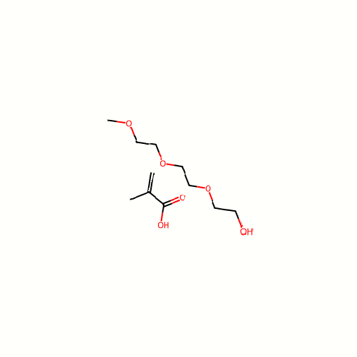 C=C(C)C(=O)O.COCCOCCOCCO